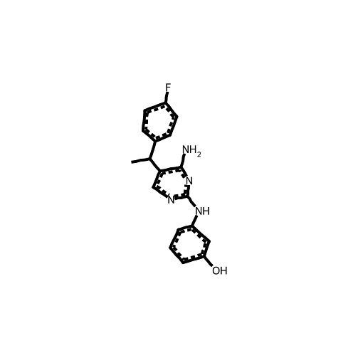 CC(c1ccc(F)cc1)c1cnc(Nc2cccc(O)c2)nc1N